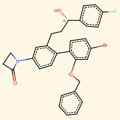 O=C1CCN1c1ccc(-c2ccc(Br)cc2OCc2ccccc2)c(CC[C@H](O)c2ccc(F)cc2)c1